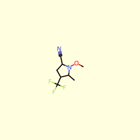 CON1C(C#N)CC(C(F)(F)F)C1C